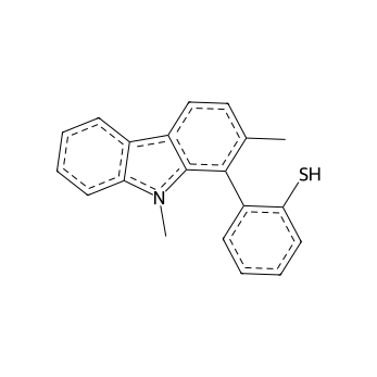 Cc1ccc2c3ccccc3n(C)c2c1-c1ccccc1S